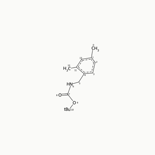 Cc1ccc(CNC(=O)OC(C)(C)C)c(C)c1